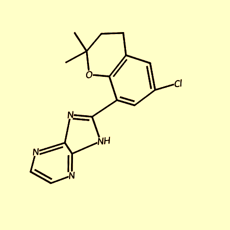 CC1(C)CCc2cc(Cl)cc(-c3nc4nccnc4[nH]3)c2O1